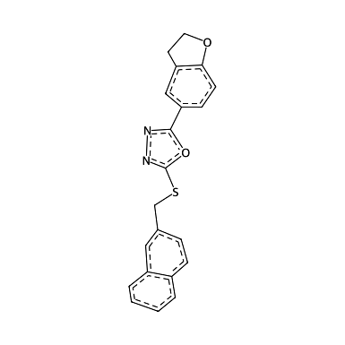 c1ccc2cc(CSc3nnc(-c4ccc5c(c4)CCO5)o3)ccc2c1